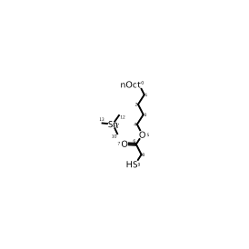 CCCCCCCCCCCCOC(=O)CS.[CH3][Sn]([CH3])[CH3]